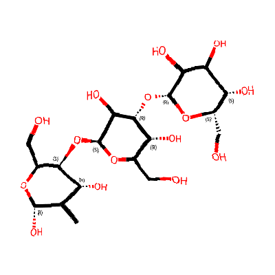 CC1[C@H](O)OC(CO)[C@@H](O[C@@H]2OC(CO)[C@@H](O)[C@@H](O[C@H]3O[C@@H](CO)[C@@H](O)C(O)C3O)C2O)[C@@H]1O